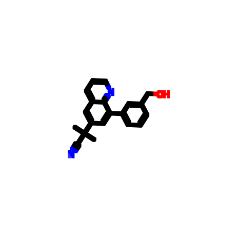 CC(C)(C#N)c1cc(-c2cccc(CO)c2)c2ncccc2c1